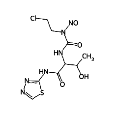 CC(O)C(NC(=O)N(CCCl)N=O)C(=O)Nc1nncs1